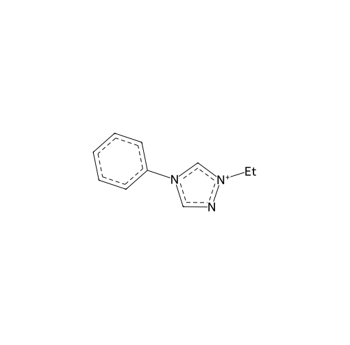 CC[n+]1cn(-c2ccccc2)cn1